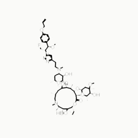 C=CCOc1ccc([C@@H](OC)[C@@H](CF)n2cc(CCN(C)[C@H]3C[C@@H](C)O[C@@H](O[C@@H]4[C@@H](C)[C@H](O[C@H]5C[C@@](C)(OC)[C@@H](O)[C@H](C)O5)[C@@H](C)C(=O)O[C@H](CC)[C@@](C)(O)[C@H](O)[C@@H](C)N(C)C[C@H](C)C[C@@]4(C)O)[C@@H]3O)nn2)cc1